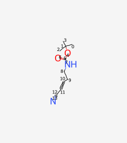 CC(C)(C)OC(=O)NCCC#CC#N